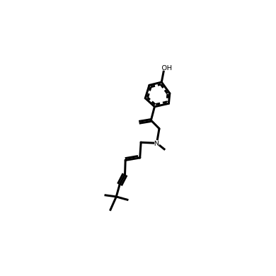 C=C(CN(C)CC=CC#CC(C)(C)C)c1ccc(O)cc1